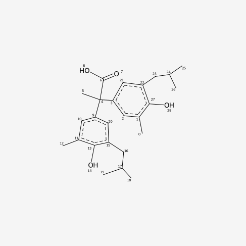 Cc1cc(C(C)(C(=O)O)c2cc(C)c(O)c(CC(C)C)c2)cc(CC(C)C)c1O